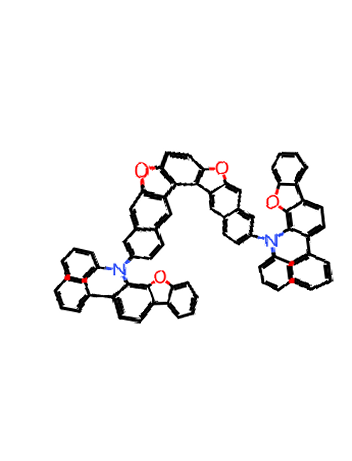 c1ccc(-c2ccc3c(oc4ccccc43)c2N(c2ccccc2)c2ccc3cc4c(cc3c2)oc2ccc3oc5cc6cc(N(c7ccccc7)c7c(-c8ccccc8)ccc8c7oc7ccccc78)ccc6cc5c3c24)cc1